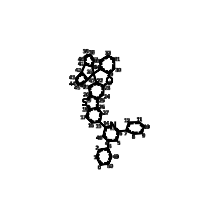 c1ccc(-c2cc(-c3ccccc3)nc(-c3ccc4sc5cc6c(cc5c4c3)Oc3ccccc3C63c4ccccc4-c4ccccc43)c2)cc1